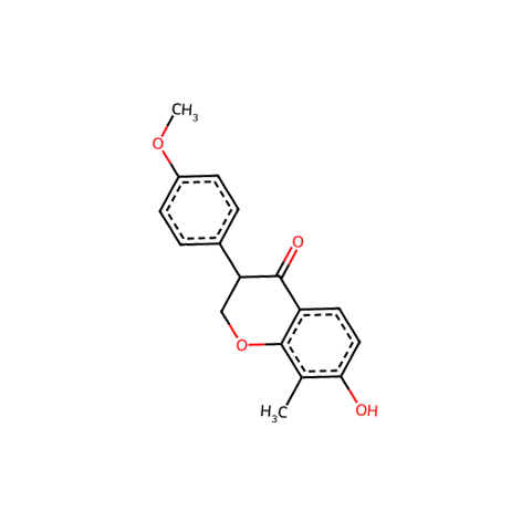 COc1ccc(C2COc3c(ccc(O)c3C)C2=O)cc1